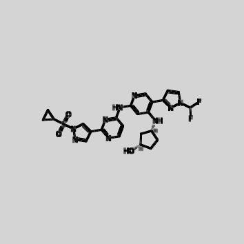 O=S(=O)(C1CC1)n1cc(-c2nccc(Nc3cc(N[C@@H]4CC[C@H](O)C4)c(-c4ccn(C(F)F)n4)cn3)n2)cn1